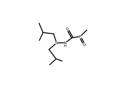 CC(C)CN(CC(C)C)NC(=O)[P](C)=O